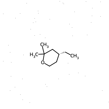 CC[C@@H]1CCOC(C)(C)C1